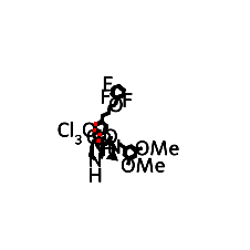 COc1cc(CN(C(=O)C2=C(c3ccc(CCCOc4c(F)ccc(F)c4F)cc3)CC3CNC[C@H]2N3C(=O)OC(C)(C)C(Cl)(Cl)Cl)C2CC2)cc(OC)c1